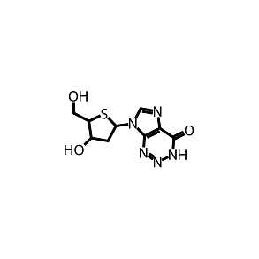 O=c1[nH]nnc2c1ncn2C1CC(O)C(CO)S1